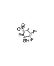 O=[N+]([O-])c1cc(F)c(F)c(O)c1F